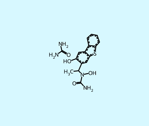 CC(c1cc2sc3ccccc3c2cc1O)N(O)C(N)=O.NC(N)=O